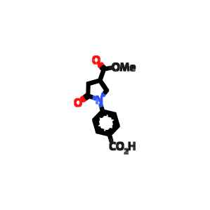 COC(=O)C1CC(=O)N(c2ccc(C(=O)O)cc2)C1